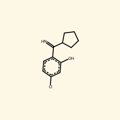 N=C(c1ccc(Cl)cc1O)C1CCCC1